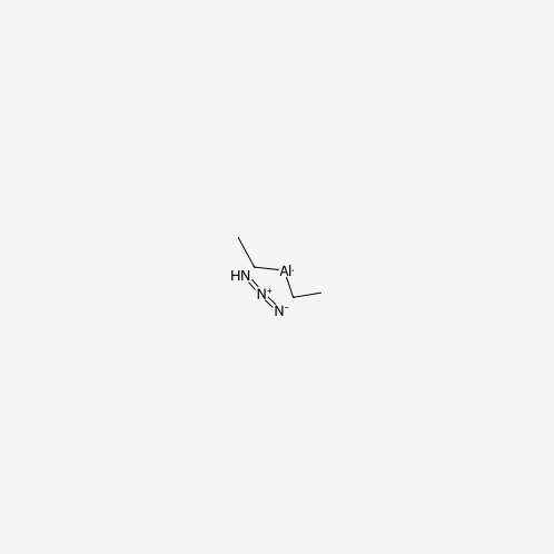 C[CH2][Al][CH2]C.[N-]=[N+]=N